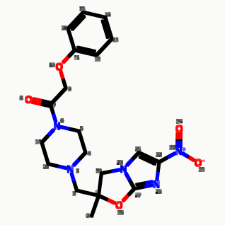 CC1(CN2CCN(C(=O)COc3ccccc3)CC2)Cn2cc([N+](=O)[O-])nc2O1